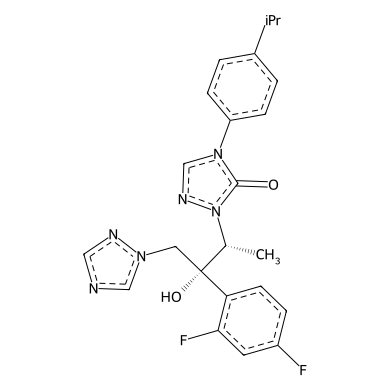 CC(C)c1ccc(-n2cnn([C@H](C)[C@](O)(Cn3cncn3)c3ccc(F)cc3F)c2=O)cc1